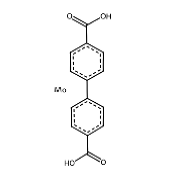 O=C(O)c1ccc(-c2ccc(C(=O)O)cc2)cc1.[Mo]